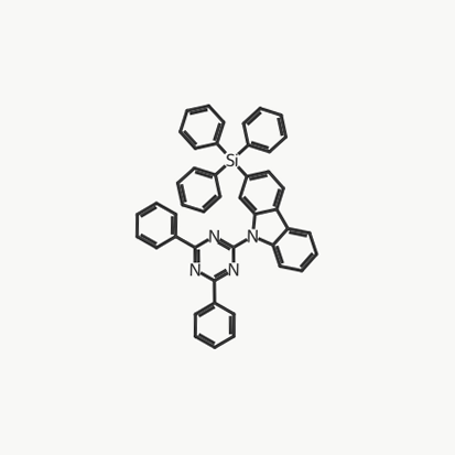 c1ccc(-c2nc(-c3ccccc3)nc(-n3c4ccccc4c4ccc([Si](c5ccccc5)(c5ccccc5)c5ccccc5)cc43)n2)cc1